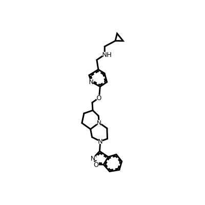 c1ccc2c(N3CCN4CC(COc5ccc(CNCC6CC6)cn5)CCC4C3)noc2c1